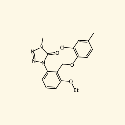 CCOc1cccc(-n2nnn(C)c2=O)c1COc1ccc(C)cc1Cl